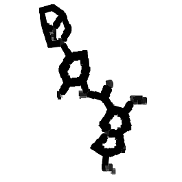 COc1cc2nc(C)cn2cc1C(=O)Nc1ccc(N2CC3CCC(C2)N3)cc1F